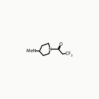 CNC1CCN(C(=O)CC(F)(F)F)CC1